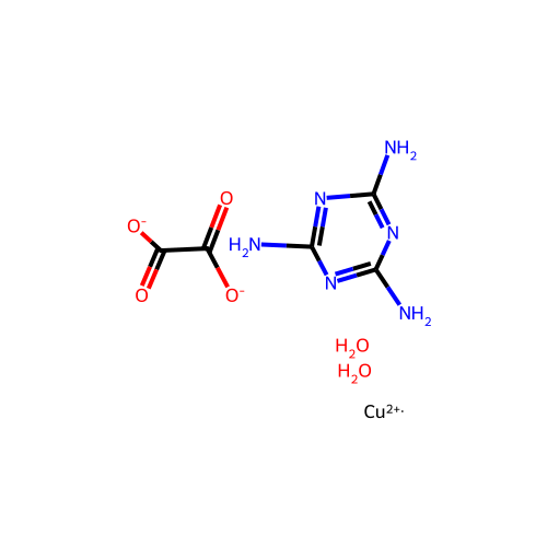 Nc1nc(N)nc(N)n1.O.O.O=C([O-])C(=O)[O-].[Cu+2]